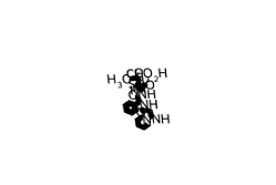 CC1(C)S[C@@H]2[C@H](NC(=O)C(NC(=O)CC(=N)N3CCCCC3)c3ccccc3)C(=O)N2[C@H]1C(=O)O